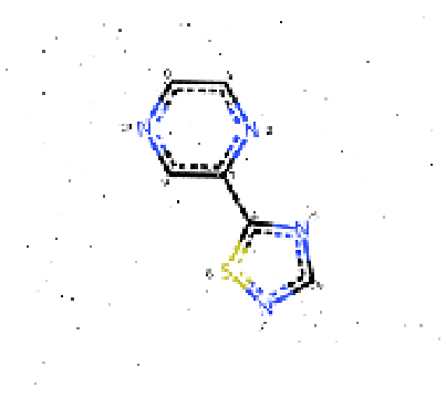 [c]1cnc(-c2ncns2)cn1